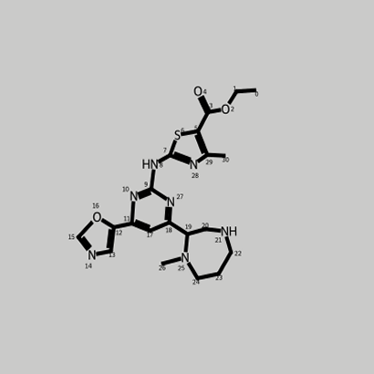 CCOC(=O)c1sc(Nc2nc(-c3cnco3)cc(C3CNCCCN3C)n2)nc1C